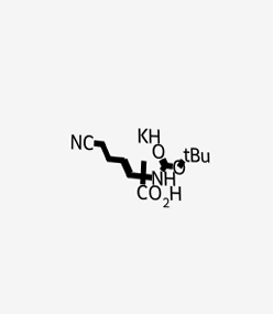 CC(C)(C)OC(=O)NC(C)(C=CCCC#N)C(=O)O.[KH]